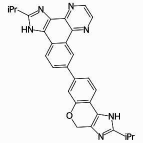 CC(C)c1nc2c([nH]1)-c1ccc(-c3ccc4c(c3)c3nccnc3c3nc(C(C)C)[nH]c43)cc1OC2